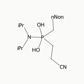 CCCCCCCCCCP(O)(O)(CCC#N)N(C(C)C)C(C)C